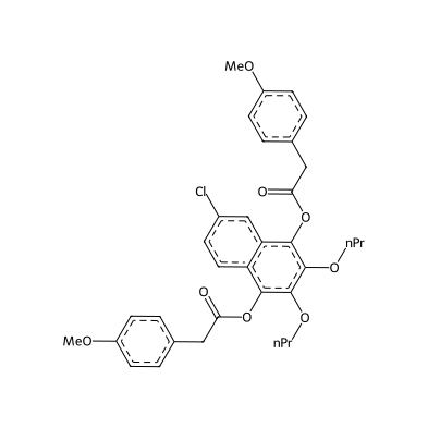 CCCOc1c(OCCC)c(OC(=O)Cc2ccc(OC)cc2)c2cc(Cl)ccc2c1OC(=O)Cc1ccc(OC)cc1